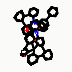 c1ccc(-c2ccc(N(c3ccc4c(c3)C3(c5ccccc5-c5ccccc5-4)c4ccccc4-c4cc5oc6ccccc6c5cc43)c3cccc4c3N(c3ccccc3)c3ccccc3-c3ccccc3-4)cc2)cc1